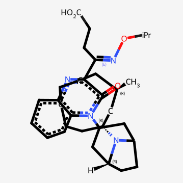 CC(C)O/N=C(\CCC(=O)O)c1nc2ccccc2n(C2CC3CC[C@H](C2)N3[C@@H]2CCCCCC[C@@H](C)C2)c1=O